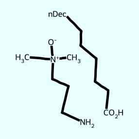 CCCCCCCCCCCCCCCC(=O)O.C[N+](C)([O-])CCCN